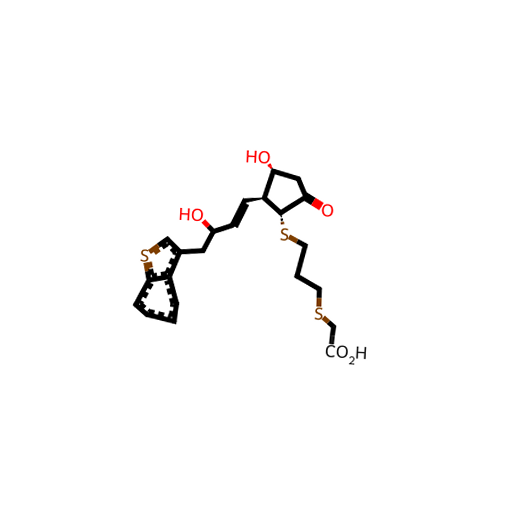 O=C(O)CSCCCS[C@H]1C(=O)C[C@@H](O)[C@@H]1C=CC(O)Cc1csc2ccccc12